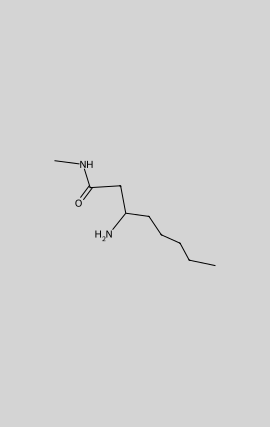 CCCCCC(N)CC(=O)NC